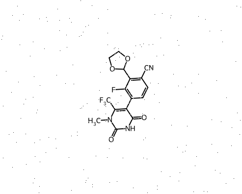 Cn1c(C(F)(F)F)c(-c2ccc(C#N)c(C3OCCO3)c2F)c(=O)[nH]c1=O